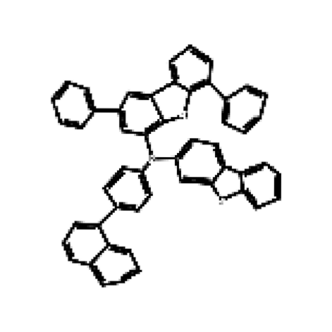 c1ccc(-c2cc(N(c3ccc(-c4cccc5ccccc45)cc3)c3ccc4c(c3)sc3ccccc34)c3oc4c(-c5ccccc5)cccc4c3c2)cc1